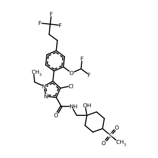 CCn1nc(C(=O)NCC2(O)CCC(S(C)(=O)=O)CC2)c(Cl)c1-c1ccc(CCC(F)(F)F)cc1OC(F)F